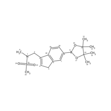 CN(CC1=CCc2cc(B3OC(C)(C)C(C)(C)O3)ccc21)S(C)(=O)=O